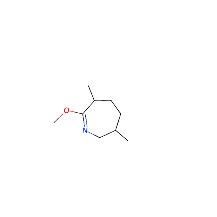 COC1=NCC(C)CCC1C